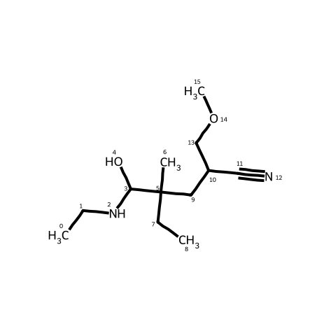 CCNC(O)C(C)(CC)CC(C#N)COC